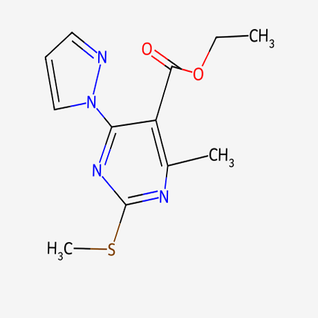 CCOC(=O)c1c(C)nc(SC)nc1-n1cccn1